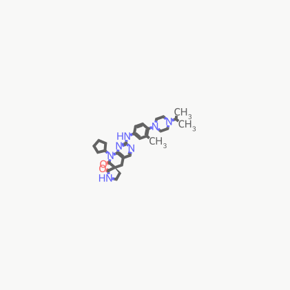 Cc1cc(Nc2ncc3c(n2)N(C2CCCC2)C(=O)[C@]2(CCNC2=O)C3)ccc1N1CCN(C(C)C)CC1